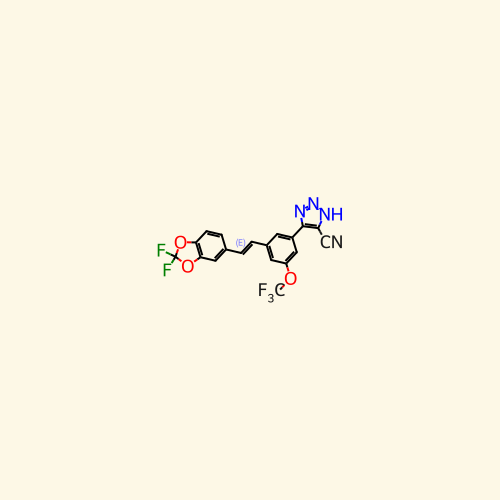 N#Cc1[nH]nnc1-c1cc(/C=C/c2ccc3c(c2)OC(F)(F)O3)cc(OC(F)(F)F)c1